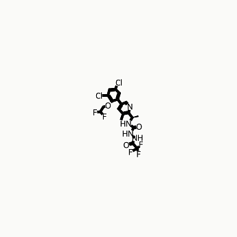 Cc1cc(-c2cc(Cl)cc(Cl)c2OCC(F)F)cnc1[C@@H](C)NC(=O)NNC(=O)C(F)(F)F